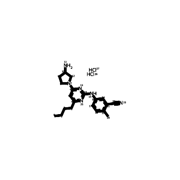 CCCCc1cc(N2CCC(N)C2)nc(Nc2ccc(C)c(C#N)c2)n1.Cl.Cl